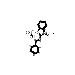 CN1c2ccccc2SC1SCc1ccccc1.O=S(=O)(O)O